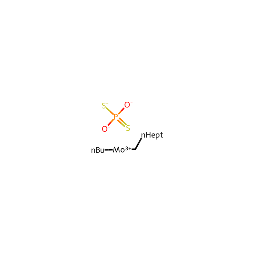 CCCCCCC[CH2][Mo+3][CH2]CCC.[O-]P([O-])(=S)[S-]